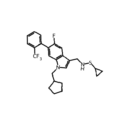 Fc1cc2c(CNSC3CC3)cn(CC3CCCC3)c2cc1-c1ccccc1C(F)(F)F